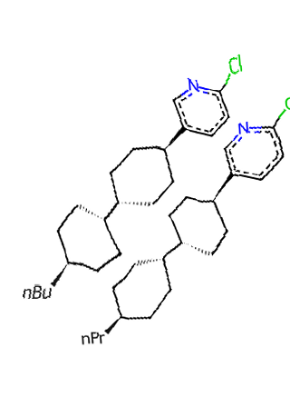 CCCC[C@H]1CC[C@H]([C@H]2CC[C@H](c3ccc(Cl)nc3)CC2)CC1.CCC[C@H]1CC[C@H]([C@H]2CC[C@H](c3ccc(Cl)nc3)CC2)CC1